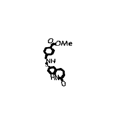 COC(=O)C1CCC(CNSc2ccc3c(c2)CCCC(=O)N3)CC1